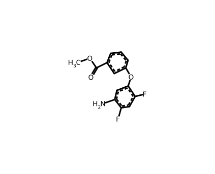 COC(=O)c1cccc(Oc2cc(N)c(F)cc2F)c1